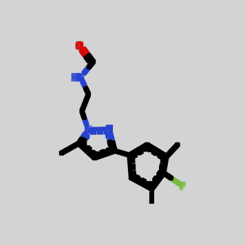 Cc1cc(-c2cc(C)n(CCNC=O)n2)cc(C)c1F